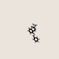 CN(C)c1ccc2c(SCc3ccccc3)cccc2n1